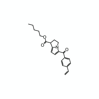 C=Cc1ccc(C(=O)c2ccc3n2CCC3C(=O)OCCCCC)cc1